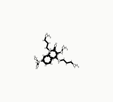 CCCCOc1c(OC)c(=O)n(CCCC)c2cc([N+](=O)[O-])ccc12